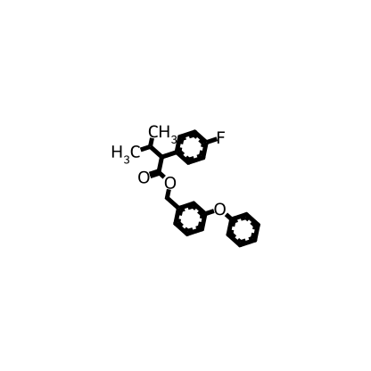 CC(C)C(C(=O)OCc1cccc(Oc2ccccc2)c1)c1ccc(F)cc1